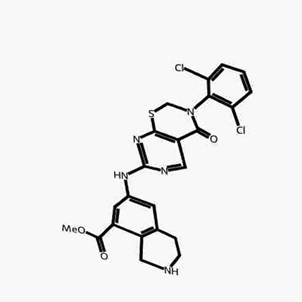 COC(=O)c1cc(Nc2ncc3c(n2)SCN(c2c(Cl)cccc2Cl)C3=O)cc2c1CNCC2